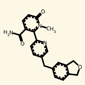 Cn1c(-c2ccc(Cc3ccc4c(c3)COC4)cn2)c(C(N)=O)ccc1=O